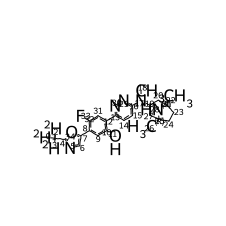 [2H]C([2H])([2H])c1ncc(-c2cc(O)c(-c3ccc(N(C)C4C[C@]5(C)CC[C@](C)(C4)N5)nn3)cc2F)o1